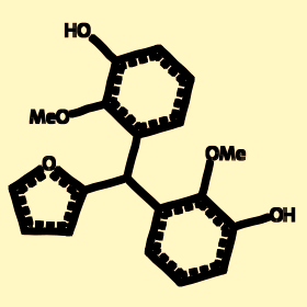 COc1c(O)cccc1C(c1ccco1)c1cccc(O)c1OC